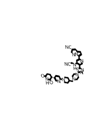 N#CCNc1cc(-c2ccc3cc(C#N)cnn23)ncc1-c1nnc(N2CCN(CC3CCN(c4ccc([C@H]5CCC(=O)NC5=O)cn4)CC3)CC2)s1